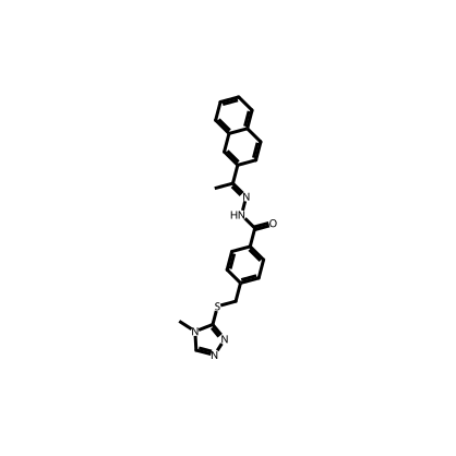 CC(=NNC(=O)c1ccc(CSc2nncn2C)cc1)c1ccc2ccccc2c1